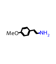 COc1ccc(/C=C/N)cc1